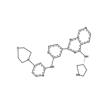 c1cc2c(N[C@@H]3CCNC3)nc(-c3ccnc(Nc4cc(N5CCOCC5)ccn4)c3)nc2cn1